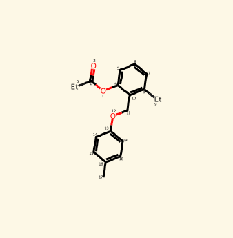 CCC(=O)Oc1cccc(CC)c1COc1ccc(C)cc1